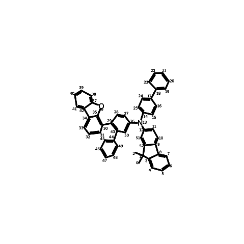 CC1(C)c2ccccc2-c2ccc(N(c3ccc(-c4ccccc4)cc3)c3ccc(-c4cccc5c4oc4ccccc45)c(-c4ccccc4)c3)cc21